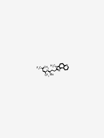 C=C(/C=C(\N=C(\CCc1nc2c3cccnc3ccc2n1C)C(C)CC)C(F)(F)F)C(F)(F)F